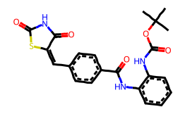 CC(C)(C)OC(=O)Nc1ccccc1NC(=O)c1ccc(C=C2SC(=O)NC2=O)cc1